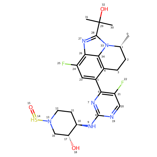 C[C@@H]1CCc2c(-c3nc(N[C@@H]4CCN([SH]=O)C[C@H]4O)ncc3F)cc(F)c3nc(C(C)(C)O)n1c23